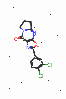 O=c1c2nc(-c3ccc(Cl)c(Cl)c3)oc2nc2n1CCC2